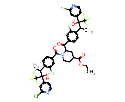 CCOC(=O)C1CCN(C(=O)c2ccc(C(C)C(O)(c3ccnc(Cl)c3)C(F)(F)F)c(Cl)c2)C(C(=O)c2ccc(C(C)C(O)(c3ccnc(Cl)c3)C(F)(F)F)c(Cl)c2)C1